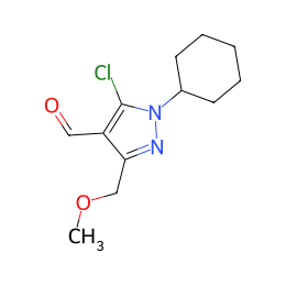 COCc1nn(C2CCCCC2)c(Cl)c1C=O